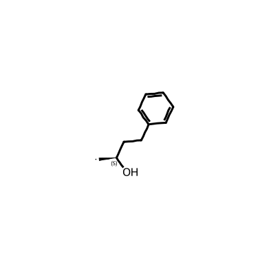 [CH2][C@H](O)CCc1ccccc1